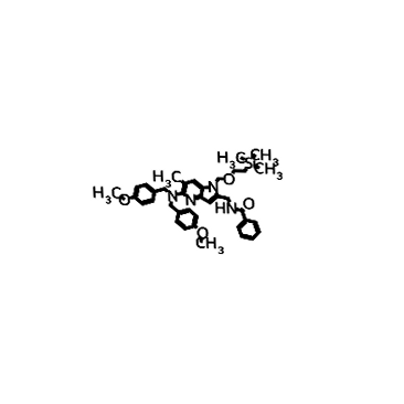 COc1ccc(CN(Cc2ccc(OC)cc2)c2nc3cc(CNC(=O)c4ccccc4)n(COCC[Si](C)(C)C)c3cc2C)cc1